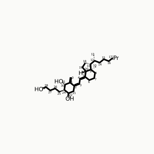 C=C1/C(=C\C=C2/CCC[C@]3(C)[C@@H]([C@H](C)CCCC(C)C)CC[C@@H]23)CC(O)[C@@H](CCCCO)[C@@H]1O